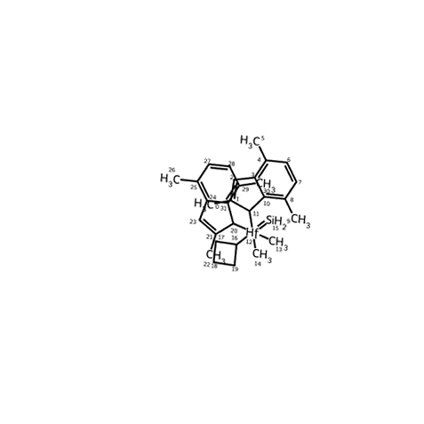 CC1=Cc2c(C)ccc(C)c2[CH]1[Hf]([CH3])([CH3])(=[SiH2])([CH]1CCC1)[CH]1C(C)=Cc2c(C)ccc(C)c21